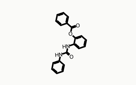 O=C(Nc1ccccc1)Nc1ccccc1OC(=O)c1ccccc1